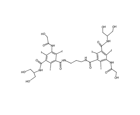 O=C(CO)Nc1c(I)c(C(=O)NCCCNC(=O)c2c(I)c(NC(=O)CO)c(I)c(C(=O)NC(CO)CO)c2I)c(I)c(C(=O)NC(CO)CO)c1I